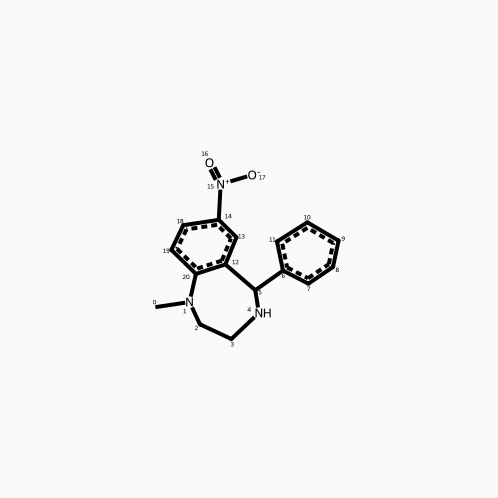 CN1CCNC(c2ccccc2)c2cc([N+](=O)[O-])ccc21